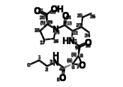 CCCNC(=O)[C@H]1O[C@@H]1C(=O)NC(C(=O)N1CCC[C@H]1C(=O)O)C(C)CC